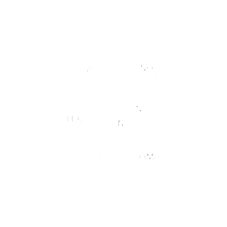 COC(=O)n1nc([N+](=O)[O-])c(Cl)c1C